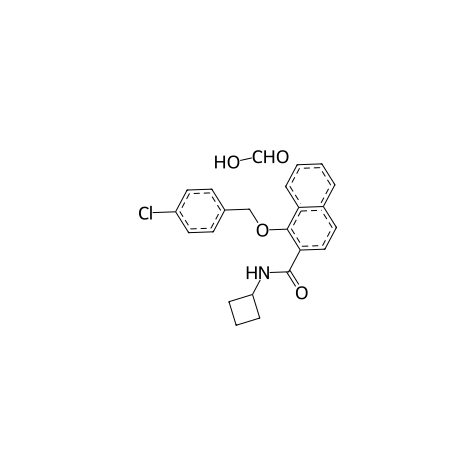 O=C(NC1CCC1)c1ccc2ccccc2c1OCc1ccc(Cl)cc1.O=CO